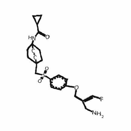 NCC(=CF)COc1ccc(S(=O)(=O)CC23CCC(NC(=O)C4CC4)(CC2)CC3)cc1